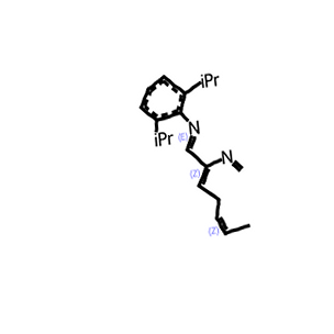 C=NC(=C\C/C=C\C)/C=N/c1c(C(C)C)cccc1C(C)C